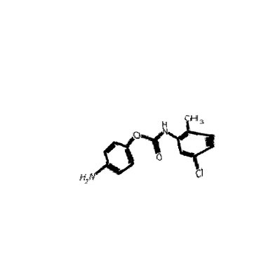 Cc1ccc(Cl)cc1NC(=O)Oc1ccc(N)cc1